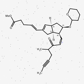 CC#CCC(C)C(=O)/C=C\[C@H]1[C@H]2CC(C=CCCC(=O)OC)=C[C@H]2C[C@H]1OC1CCCCO1